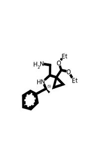 CCOC(OCC)C1(C(CN)N[C@@H](C)c2ccccc2)CC1